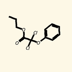 CCCOC(=O)C(Cl)(Cl)Oc1ccccc1